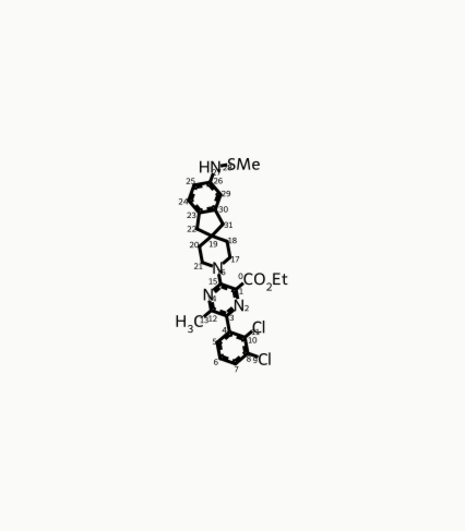 CCOC(=O)c1nc(-c2cccc(Cl)c2Cl)c(C)nc1N1CCC2(CC1)Cc1ccc(NSC)cc1C2